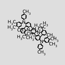 Cc1ccc(N(c2cc(C)c(C)c(C)c2)c2ccc3c4cc5c(cc4n4c6c(C(C)(C)C)cccc6c2c34)c2ccc(N(c3ccc(C)cc3)c3cc(C)c(C)c(C)c3)c3c4cccc(C(C)(C)C)c4n5c23)cc1